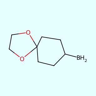 BC1CCC2(CC1)OCCO2